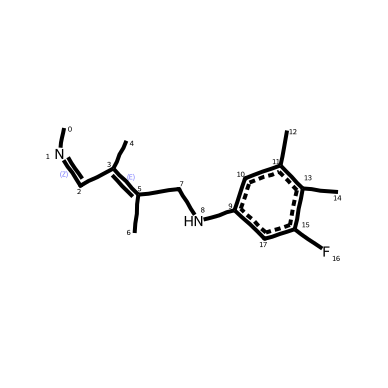 C/N=C\C(C)=C(/C)CNc1cc(C)c(C)c(F)c1